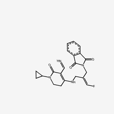 N=CC1=C(NC/C(=C/F)CN2C(=O)c3ccccc3C2=O)CCN(C2CC2)C1=O